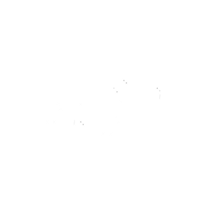 O=C(Nc1cccc(-c2nnc(C3CCCN3)o2)c1)c1ccccc1F